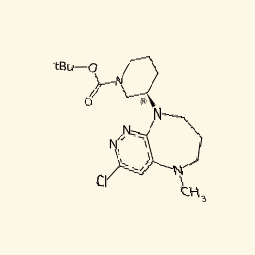 CN1CCCN([C@@H]2CCCN(C(=O)OC(C)(C)C)C2)c2nnc(Cl)cc21